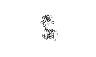 CO[C@H]1CN(c2ncc(-c3ccc(C(=O)N4C[C@@H](C(=O)NS[C@H]5C[C@@H]5c5ccccc5)[C@H](C(=O)N[C@H]5C[C@@H]5c5ccccc5)C4)cc3)o2)C[C@@H]1NC(=O)NC(C)(C)C